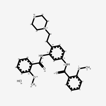 COc1ccccc1C(=O)Nc1ccc(CCN2CCOCC2)c(NC(=O)c2ccccc2OC)c1.Cl